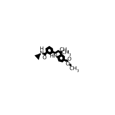 CCOC(=O)c1ccc2c(c1)C(C)(C)CC(c1cccc(C(=O)NC3CC3)c1)N2